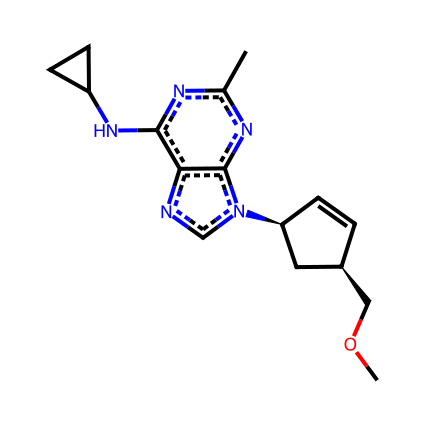 COC[C@@H]1C=C[C@H](n2cnc3c(NC4CC4)nc(C)nc32)C1